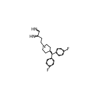 N=CC(=N)CCN1CCC(=C(c2ccc(F)cc2)c2ccc(F)cc2)CC1